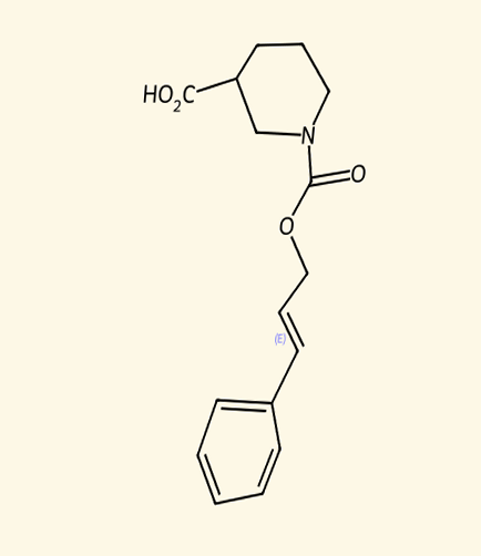 O=C(O)C1CCCN(C(=O)OC/C=C/c2ccccc2)C1